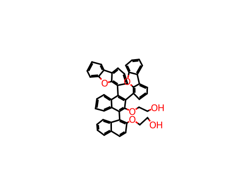 OCCOc1ccc2ccccc2c1-c1c(OCCO)c(-c2cccc3c2oc2ccccc23)c(-c2cccc3c2oc2ccccc23)c2ccccc12